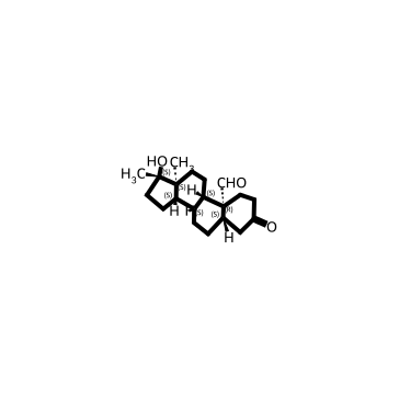 C[C@]1(O)CC[C@H]2[C@@H]3CC[C@H]4CC(=O)CC[C@]4(C=O)[C@H]3CC[C@@]21C